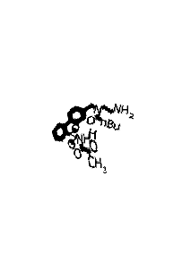 CCCCC(=O)N(CCN)Cc1ccc(-c2ccccc2S(=O)(=O)NC(=O)[C@H](C)O)cc1